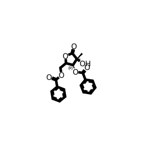 C[C@]1(O)C(=O)OC(COC(=O)c2ccccc2)[C@H]1OC(=O)c1ccccc1